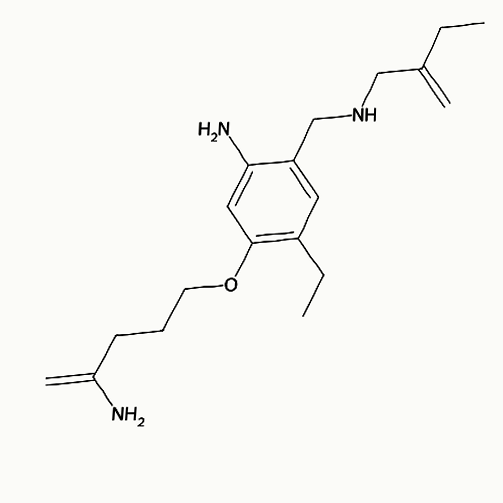 C=C(N)CCCOc1cc(N)c(CNCC(=C)CC)cc1CC